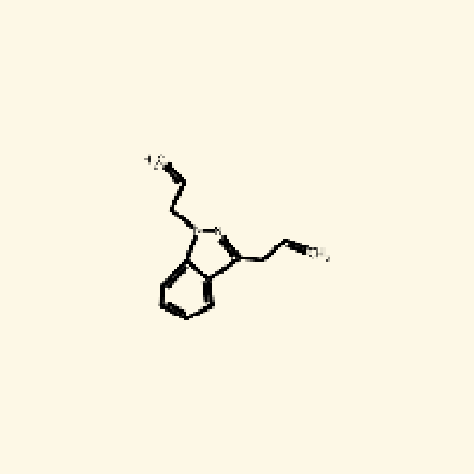 C=CCc1nn(CC=C)c2ccccc12